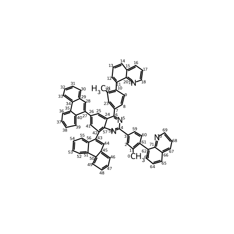 Cc1cc(-c2nc(-c3ccc(-c4cccc5cccnc45)c(C)c3)c3cc(-c4cc5ccccc5c5ccccc45)cc(-c4cc5ccccc5c5ccccc45)c3n2)ccc1-c1cccc2cccnc12